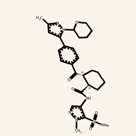 CNS(=O)(=O)c1c(NC(=O)[C@@H]2CCCC[C@H]2C(=O)c2ccc(-c3cc(C)nn3C3CCCCO3)cc2)cnn1C